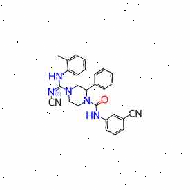 Cc1ccccc1N/C(=N/C#N)N1CCN(C(=O)Nc2cccc(C#N)c2)C(c2ccccc2)C1